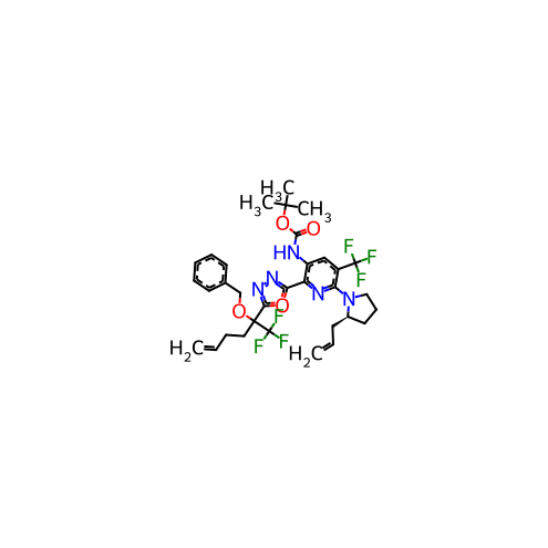 C=CCCC(OCc1ccccc1)(c1nnc(-c2nc(N3CCC[C@H]3CC=C)c(C(F)(F)F)cc2NC(=O)OC(C)(C)C)o1)C(F)(F)F